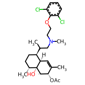 CC(=O)O[C@@H]1[CH][C@@]2(O)[C@H](C)CC[C@@H](C(C)CN(C)CCOc3c(Cl)cccc3Cl)[C@H]2C=C1C